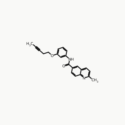 CC#CCCOc1cccc(NC(=O)c2ccc3nc(C)ccc3c2)c1